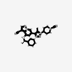 Cc1c(-c2cc(O[C@H](C)C3CCCCC3)c3c(C#N)cnn3c2)nnn1C1CCN(C#N)CC1